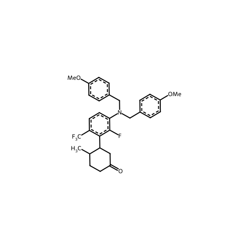 COc1ccc(CN(Cc2ccc(OC)cc2)c2ccc(C(F)(F)F)c(C3CC(=O)CCC3C)c2F)cc1